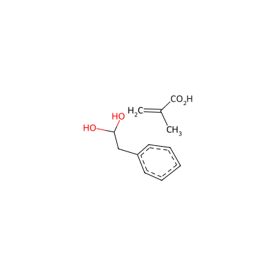 C=C(C)C(=O)O.OC(O)Cc1ccccc1